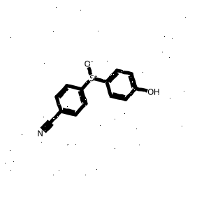 N#Cc1ccc([S+]([O-])c2ccc(O)cc2)cc1